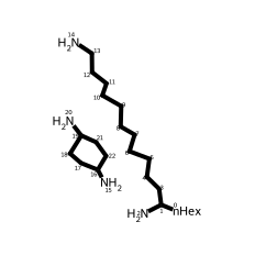 CCCCCCC(N)CCCCCCCCCCCN.NC1CCC(N)CC1